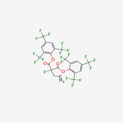 CCC(F)(C(=O)Oc1c(C(F)(F)F)cc(C(F)(F)F)cc1C(F)(F)F)C(=O)Oc1c(C(F)(F)F)cc(C(F)(F)F)cc1C(F)(F)F